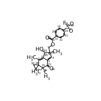 CC1=C2C(=C[C@@](C)(COC(=O)c3ccc(S(=O)(=O)F)cc3)[C@@H]2O)C(=O)C(C)(C)C12CC2